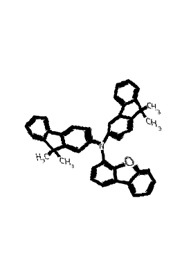 CC1(C)c2ccccc2-c2cc(N(c3ccc4c(c3)C(C)(C)c3ccccc3-4)c3cccc4c3oc3ccccc34)ccc21